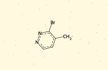 [CH2]c1ccnnc1Br